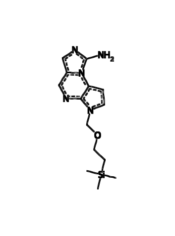 C[Si](C)(C)CCOCn1ccc2c1ncc1cnc(N)n12